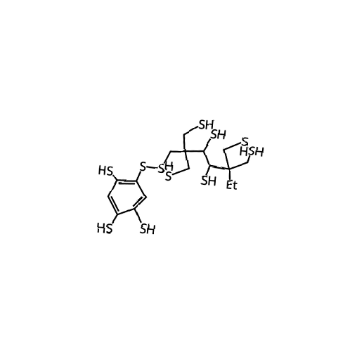 CCC(CS)(CS)C(S)C(S)C(CS)(CS)CSSc1cc(S)c(S)cc1S